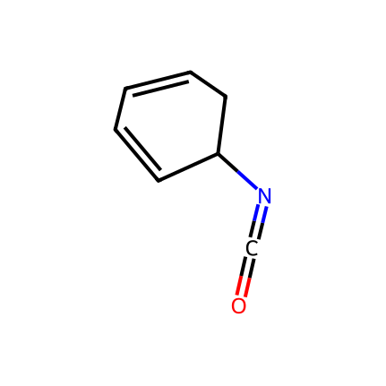 O=C=NC1C=CC=CC1